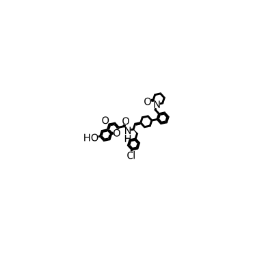 O=C(N[C@@H](C=C1CCC(c2ccccc2CN2CCCCC2=O)CC1)Cc1ccc(Cl)cc1)c1cc(=O)c2cc(O)ccc2o1